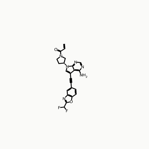 C=CC(=O)N1CC[C@H](n2cc(C#Cc3ccc4oc(C(F)F)nc4c3)c3c(N)ncnc32)C1